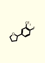 Fc1ccc(C2CCCO2)cc1C(F)(F)F